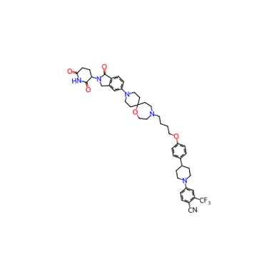 N#Cc1ccc(N2CCC(c3ccc(OCCCCN4CCOC5(CC4)CCN(c4ccc6c(c4)CN(C4CCC(=O)NC4=O)C6=O)CC5)cc3)CC2)cc1C(F)(F)F